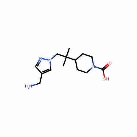 CC(C)(Cn1cc(CN)cn1)C1CCN(C(=O)O)CC1